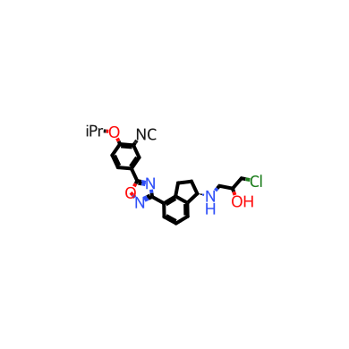 [C-]#[N+]c1cc(-c2nc(-c3cccc4c3CC[C@@H]4NCC(O)CCl)no2)ccc1OC(C)C